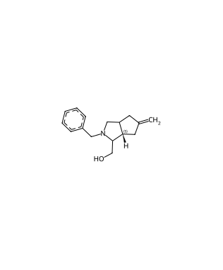 C=C1CC2CN(Cc3ccccc3)C(CO)[C@H]2C1